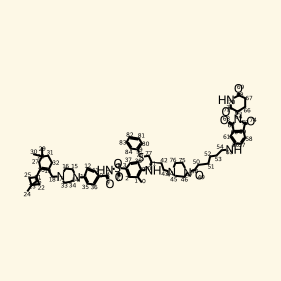 Cc1cc(S(=O)(=O)NC(=O)c2ccc(N3CCN(CC4=C(C56CC(C)(C5)C6)CC(C)(C)CC4)CC3)cc2)ccc1N[C@H](CCN1CCN(C(=O)CCCCCNc2ccc3c(c2)C(=O)N(C2CCC(=O)NC2=O)C3=O)CC1)CSc1ccccc1